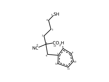 N#CC(CCCS)(Cc1ccccc1)C(=O)O